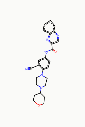 N#Cc1cc(NC(=O)c2cnc3ccccc3n2)ccc1N1CCN(C2CCOCC2)CC1